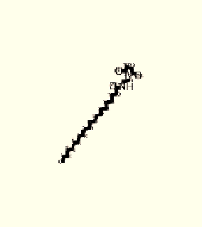 CCC=CCC=CCC=CCC=CCC=CCC=CCCC(=O)NCCN1C(=O)C=CC1=O